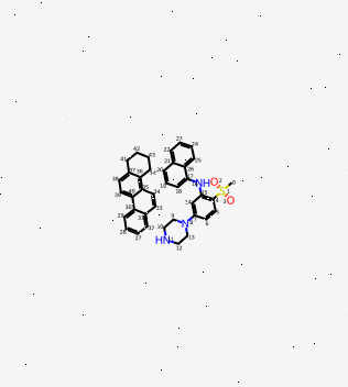 CS(=O)(=O)c1ccc(N2CCNCC2)cc1Nc1cccc2ccccc12.c1ccc2c(c1)ccc1c3c(ccc12)CCCC3